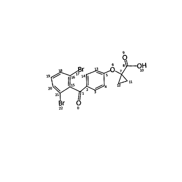 O=C(c1ccc(OC2(C(=O)O)CC2)cc1)c1c(Br)cccc1Br